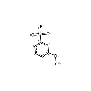 CCCOc1cccc(S(=O)(=O)C(C)C)c1